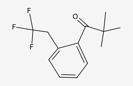 CC(C)(C)C(=O)c1ccccc1CC(F)(F)F